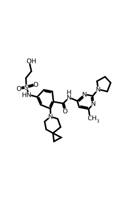 Cc1cc(NC(=O)c2ccc(NS(=O)(=O)CCO)cc2N2CCC3(CC2)CC3)nc(N2CCCC2)n1